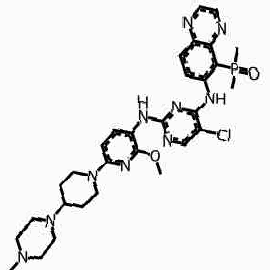 COc1nc(N2CCC(N3CCN(C)CC3)CC2)ccc1Nc1ncc(Cl)c(Nc2ccc3nccnc3c2P(C)(C)=O)n1